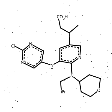 CC(C)CN(c1ncc(C(C)CC(=O)O)cc1Nc1cnc(Cl)nc1)C1CCOCC1